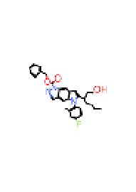 CCCCC(CCO)c1cc2cc3c(cnn3C(=O)OCc3ccccc3)cc2n1-c1ccc(F)cc1C